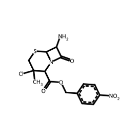 CC1(Cl)CSC2C(N)C(=O)N2C1C(=O)OCc1ccc([N+](=O)[O-])cc1